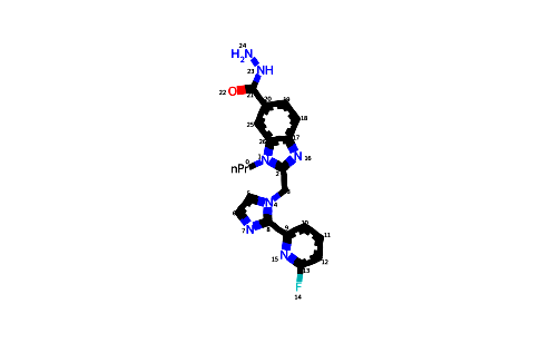 CCCn1c(Cn2ccnc2-c2cccc(F)n2)nc2ccc(C(=O)NN)cc21